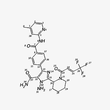 Cc1ccnc(NC(=O)c2ccc(-c3nc(C4CCCCN4C(=O)/C=C/C(F)(F)F)n(N)c3C(N)=O)cc2)c1